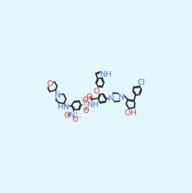 O=C(NS(=O)(=O)c1ccc(NC2CCN(C3CCOCC3)CC2)c([N+](=O)[O-])c1)c1ccc(N2CCN(CC3=C(c4ccc(Cl)cc4)CCC(O)C3)CC2)cc1Oc1ccc2[nH]ccc2c1